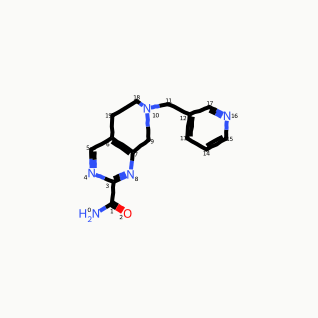 NC(=O)c1n[c]c2c(n1)CN(Cc1cccnc1)CC2